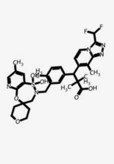 Cc1cnc2c(c1)S(O)(O)N(Cc1cc(C(c3ccn4c(C(F)F)nnc4c3C)C(C)(C)C(=O)O)ccc1C)CC1(CCOCC1)O2